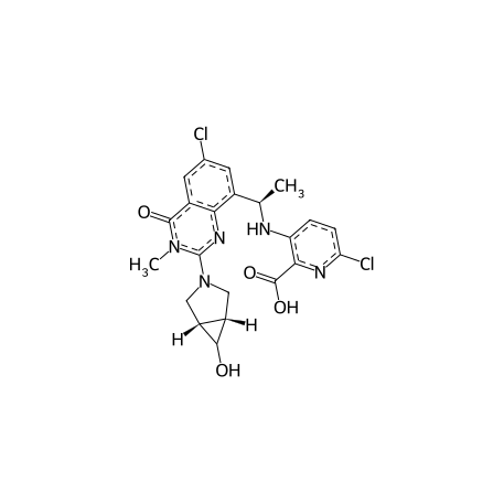 C[C@@H](Nc1ccc(Cl)nc1C(=O)O)c1cc(Cl)cc2c(=O)n(C)c(N3C[C@@H]4C(O)[C@@H]4C3)nc12